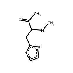 CNC(Cc1ncc[nH]1)C(C)=O